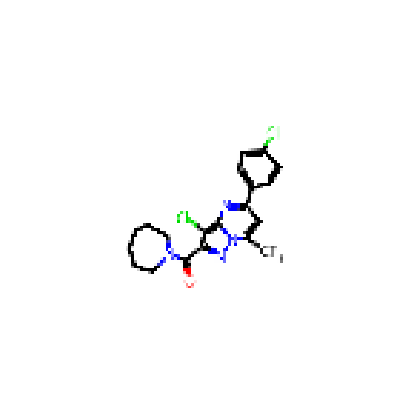 O=C(c1nn2c(C(F)(F)F)cc(-c3ccc(Cl)cc3)nc2c1Cl)N1CCCCCC1